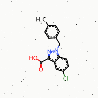 Cc1ccc(Cn2nc(C(=O)O)c3cc(Cl)ccc32)cc1